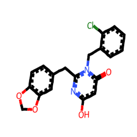 O=c1cc(O)nc(Cc2ccc3c(c2)OCO3)n1Cc1ccccc1Cl